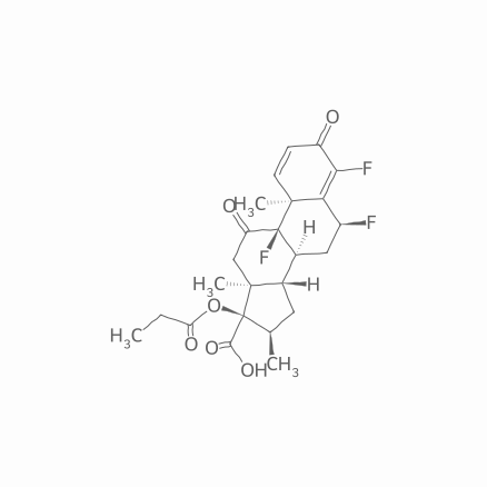 CCC(=O)O[C@]1(C(=O)O)[C@H](C)C[C@H]2[C@@H]3C[C@H](F)C4=C(F)C(=O)C=C[C@]4(C)[C@@]3(F)C(=O)C[C@@]21C